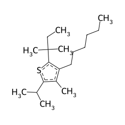 CCCCCCc1c(C(C)(C)CC)sc(C(C)C)c1C